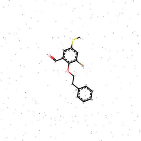 CSc1cc(Br)c(OCCc2ccccc2)c(C=O)c1